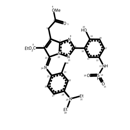 CCOC(=O)C1=C(CC(=O)OC)c2nc(-c3cc(N[SH](=O)=O)ccc3O)nn2/C1=N\c1ccc(N(CC)CC)cc1C